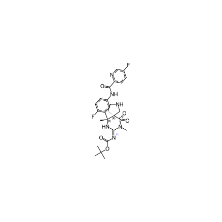 CN1/C(=N/C(=O)OC(C)(C)C)N[C@](C)(c2cc(NC(=O)c3ccc(F)cn3)ccc2F)[C@]2(CCNC2)S1(=O)=O